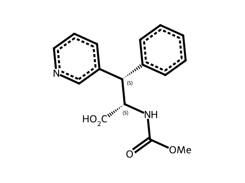 COC(=O)N[C@H](C(=O)O)[C@@H](c1ccccc1)c1cccnc1